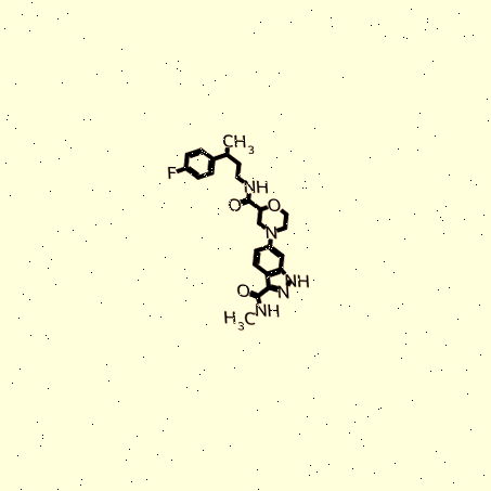 CNC(=O)c1n[nH]c2cc(N3CCOC(C(=O)NCCC(C)c4ccc(F)cc4)C3)ccc12